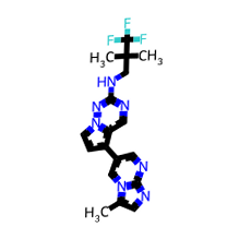 Cc1cnc2ncc(-c3ccn4nc(NCC(C)(C)C(F)(F)F)ncc34)cn12